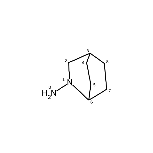 NN1CC2CCC1CC2